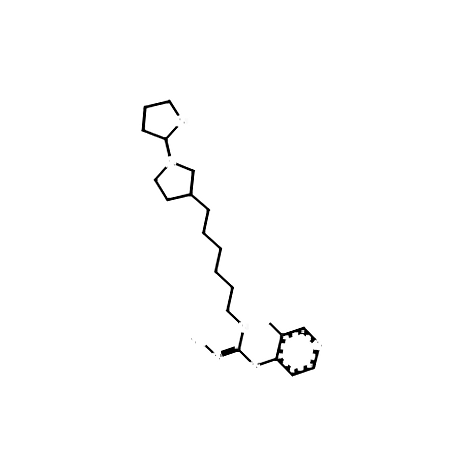 N#CN=C(NCCCCCCC1CCN(C2CCCN2)C1)Nc1ccncc1F